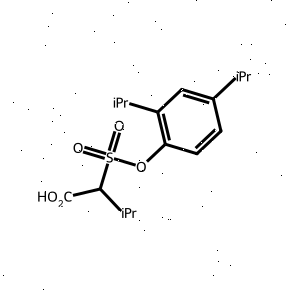 CC(C)c1ccc(OS(=O)(=O)C(C(=O)O)C(C)C)c(C(C)C)c1